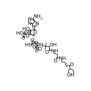 CCC(CO)C(=O)SCCNC(=O)CCNC(=O)C(O)C(C)(C)COP(=O)(O)OP(=O)(O)OC[C@H]1O[C@@H](n2cnc3c(N)ncnc32)[C@H](O)[C@@H]1OP(=O)(O)O